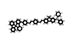 CC1(C)c2cc(/C=C/c3ccc(/C=C/c4ccc(-c5cccc6c5C5=C(C=CCC5)C6(c5ccccc5)c5ccccc5)cc4)cc3)ccc2-c2ccc(N(C3=CCCC=C3)c3ccccc3)cc21